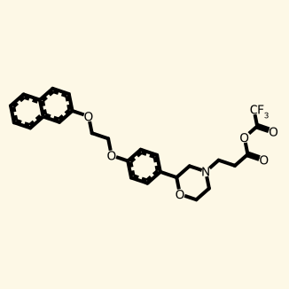 O=C(CCN1CCOC(c2ccc(OCCOc3ccc4ccccc4c3)cc2)C1)OC(=O)C(F)(F)F